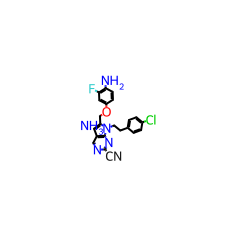 N.N#Cc1ncc2cc(COc3ccc(N)c(F)c3)n(CCc3ccc(Cl)cc3)c2n1